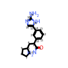 NC(=O)C(CC1CCCC1)c1cccc(-c2cnc(N)[nH]2)c1